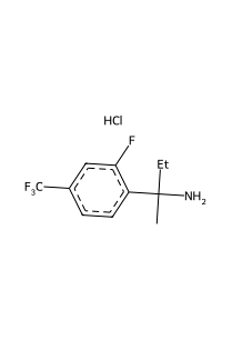 CCC(C)(N)c1ccc(C(F)(F)F)cc1F.Cl